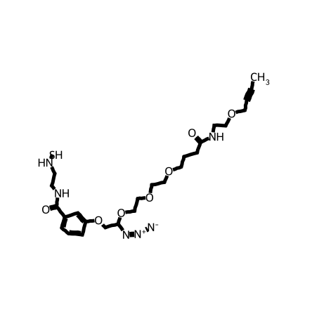 CC#CCOCCNC(=O)CCCOCCOCCOC(COc1cccc(C(=O)NCCNS)c1)N=[N+]=[N-]